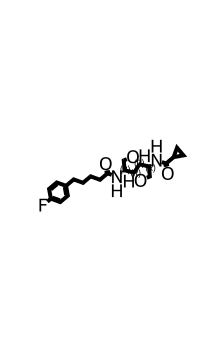 O=C(CCCCc1ccc(F)cc1)N[C@@H]1CO[C@H]2[C@@H]1OC[C@H]2NC(=O)C1CC1